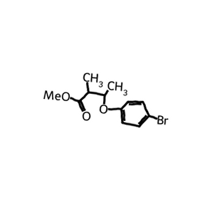 COC(=O)C(C)C(C)Oc1ccc(Br)cc1